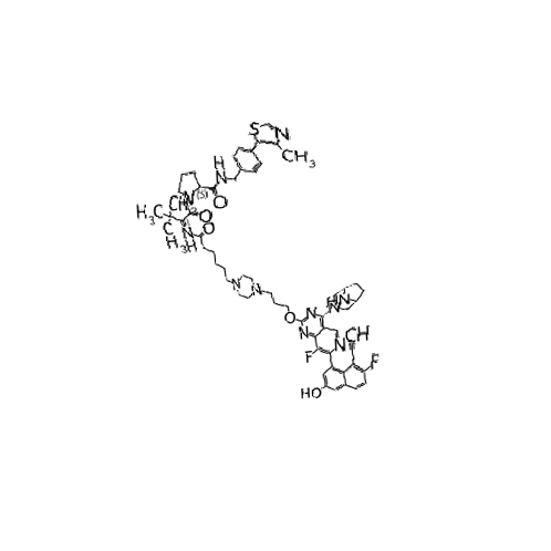 C#Cc1c(F)ccc2cc(O)cc(-c3ncc4c(N5CC6CCC(C5)N6)nc(OCCCN5CCN(CCCCCC(=O)N[C@H](C(=O)N6CCC[C@H]6C(=O)NCc6ccc(-c7scnc7C)cc6)C(C)(C)C)CC5)nc4c3F)c12